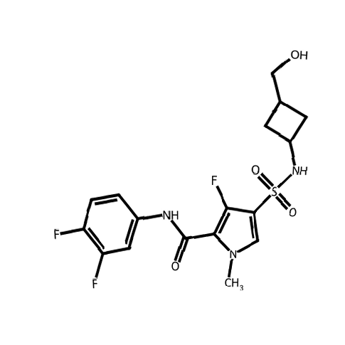 Cn1cc(S(=O)(=O)NC2CC(CO)C2)c(F)c1C(=O)Nc1ccc(F)c(F)c1